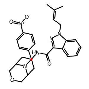 CC(C)=CCn1nc(C(=O)NC2CC3COCC(C2)N3Cc2ccc([N+](=O)[O-])cc2)c2ccccc21